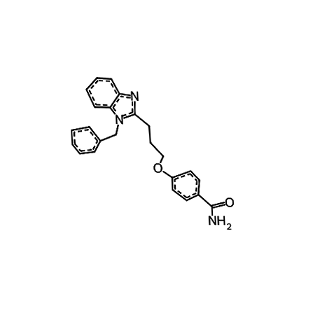 NC(=O)c1ccc(OCCCc2nc3ccccc3n2Cc2ccccc2)cc1